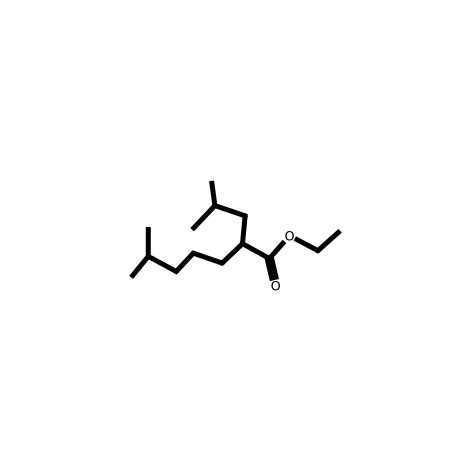 CCOC(=O)C(CCCC(C)C)CC(C)C